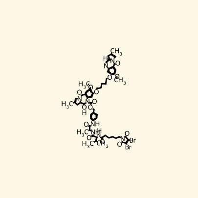 COc1cc2c(cc1OCCCCCOc1cc3c(cc1OC)C(=O)N1C=C(C)CC1[C@@H](O)N3C(=O)OCc1ccc(NC(=O)C(C)NC(=O)C(NC(=O)CCCCCN3C(=O)C(Br)=C(Br)C3=O)C(C)C)cc1)N=C[C@H]1CC(C)=CN1C2=O